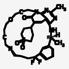 Cc1nc2c3cc(C4CCS(=O)(=O)CC4)c(=O)n(c3n1)CCCOCCCCN1CC(C1)CC(F)(F)c1cccc(c1)[C@H](C)N2